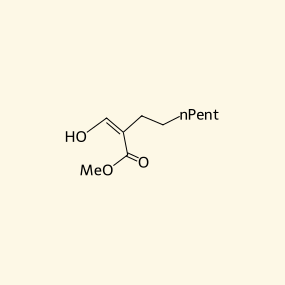 CCCCCCCC(=CO)C(=O)OC